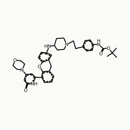 CC(C)(C)OC(=O)Nc1ccc(CCN2CCC(Nc3ccc4c(c3)Cc3cccc(-c5cc(N6CCOCC6)cc(=O)[nH]5)c3O4)CC2)cc1